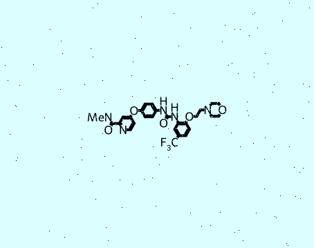 CNC(=O)c1cc(Oc2ccc(NC(=O)Nc3cc(C(F)(F)F)ccc3OCCN3CCOCC3)cc2)ccn1